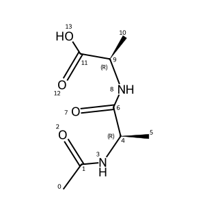 CC(=O)N[C@H](C)C(=O)N[C@H](C)C(=O)O